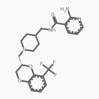 Nc1ncccc1C(=O)NCC1CCN(C[C@H]2COc3cccc(C(F)(F)F)c3O2)CC1